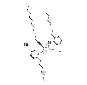 CC/C=C/CCCc1ccccc1/N=C(C#CCCCCCCCCCCC)/C(CCCC)=N/c1ccccc1CCC/C=C/CC.[Ni]